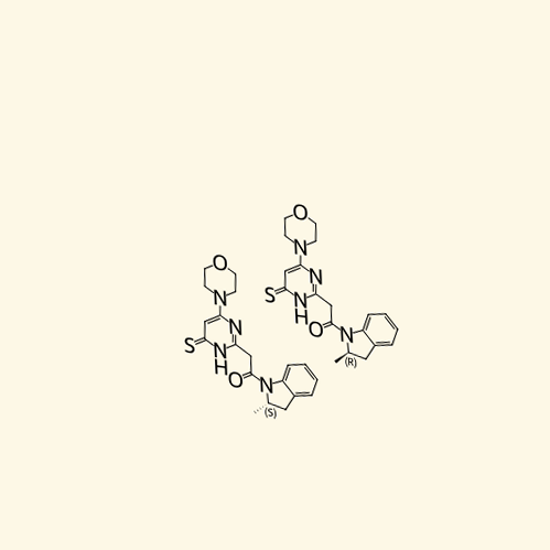 C[C@@H]1Cc2ccccc2N1C(=O)Cc1nc(N2CCOCC2)cc(=S)[nH]1.C[C@H]1Cc2ccccc2N1C(=O)Cc1nc(N2CCOCC2)cc(=S)[nH]1